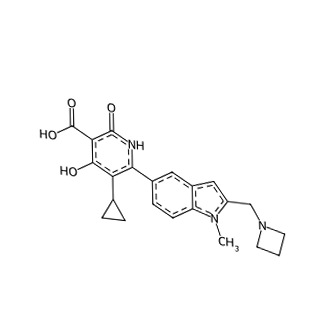 Cn1c(CN2CCC2)cc2cc(-c3[nH]c(=O)c(C(=O)O)c(O)c3C3CC3)ccc21